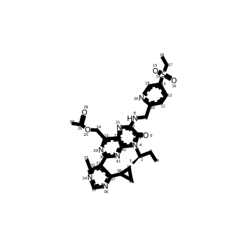 CC[C@@H](C)n1c(=O)c(NCc2ccc(S(=O)(=O)CC)cn2)nc2c(COC(C)=O)nc(-c3c(C)ncnc3C3CC3)nc21